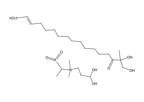 CC(P(=O)=O)[N+](C)(C)CCC(O)O.CCCCCCCCC=CCCCCCCCCCCCC(=O)C(C)(O)CO